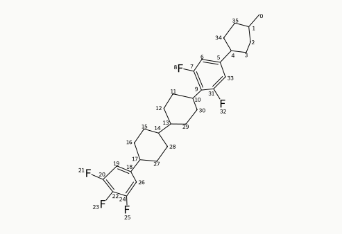 CC1CCC(c2cc(F)c(C3CCC(C4CCC(c5cc(F)c(F)c(F)c5)CC4)CC3)c(F)c2)CC1